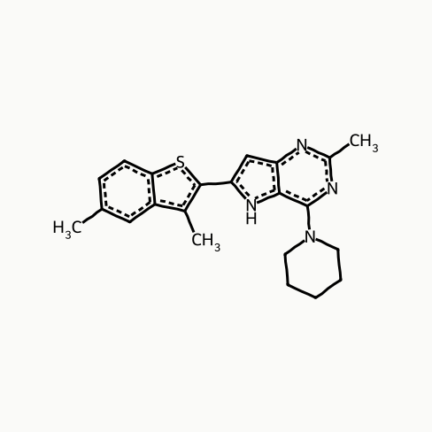 Cc1ccc2sc(-c3cc4nc(C)nc(N5CCCCC5)c4[nH]3)c(C)c2c1